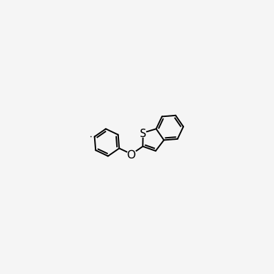 [c]1ccc(Oc2cc3ccccc3s2)cc1